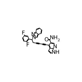 NC(=O)c1cnc2[nH]ccc2c1C#CC#CCC(c1cc(F)ccc1F)n1cc2ccccc2n1